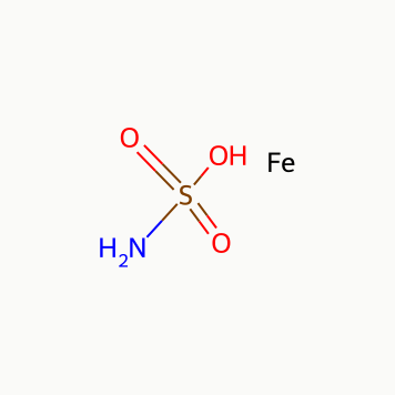 NS(=O)(=O)O.[Fe]